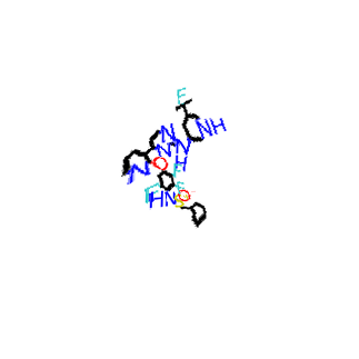 CC(C)(F)C1CNCC(Nc2nccc(-c3cccnc3Oc3cc(F)c(N[S+]([O-])Cc4ccccc4)c(F)c3F)n2)C1